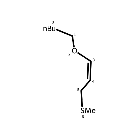 CCCCCO/C=C\CSC